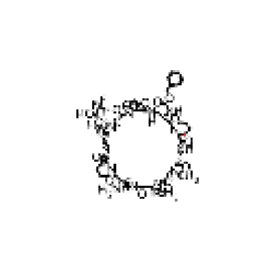 CC(C)[C@H]1C(=O)NC[C@@H](N)C(=O)N2CCCC[C@H]2C(=O)NCC(=O)N(C)CC(=O)N(C)C2(CCC2)C(=O)NC[C@@H](NC(=O)OCc2ccccc2)C(=O)N2CCCC[C@H]2C(=O)NCC(=O)N(C)CC(=O)N1C.O=C(O)C(F)(F)F